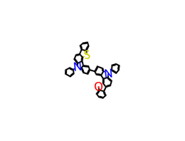 c1ccc(-n2c3ccc(-c4ccc5c(c4)c4c6sc7ccccc7c6ccc4n5-c4ccccc4)cc3c3c4oc5ccccc5c4ccc32)cc1